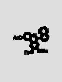 CCOc1cc2c(cc1OC)C(c1cccc3nccnc13)=NC1CCC(OC(C)=O)CC21